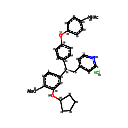 COc1ccc([C@@H](Cc2ccncc2)c2ccc(Oc3ccc(NC(C)=O)cc3)cc2)cc1OC1CCCC1.Cl